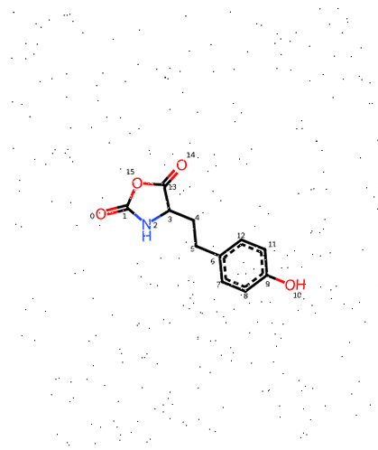 O=C1NC(CCc2ccc(O)cc2)C(=O)O1